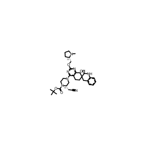 CN1CCC[C@H]1COc1nc2c(c(N3CCN(C(=O)OC(C)(C)C)[C@@H](CC#N)C3)n1)CCC1(Cc3ccccc3NC1=O)C2O